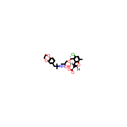 Cc1cc(Cl)c([C@@H](C)OCC(O)CNC(C)(C)Cc2ccc3c(c2)OCCO3)c2c1O[C@@H]1[C@@H](C(=O)O)[C@H]21